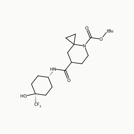 CC(C)(C)OC(=O)N1CCC(C(=O)N[C@H]2CC[C@@](O)(C(F)(F)F)CC2)CC12CC2